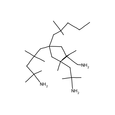 CCCC(C)(C)CC(CC(C)(C)CN)(CC(C)(C)CC(C)(C)N)CC(C)(C)CC(C)(C)N